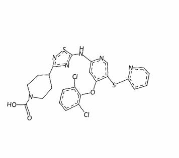 O=C(O)N1CCC(c2nsc(Nc3cc(Oc4c(Cl)cccc4Cl)c(Sc4ccccn4)cn3)n2)CC1